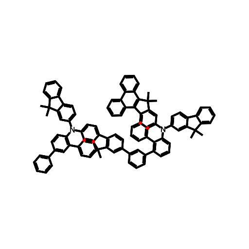 CC1(C)c2ccccc2-c2ccc(N(c3ccc4c(c3)C(C)(C)c3cc(-c5cccc(-c6cccc(N(c7ccc8c(c7)C(C)(C)c7ccccc7-8)c7ccc8c(c7)C(C)(C)c7c-8c8ccccc8c8ccccc78)c6-c6ccccc6)c5)ccc3-4)c3ccc(-c4ccccc4)cc3-c3ccccc3)cc21